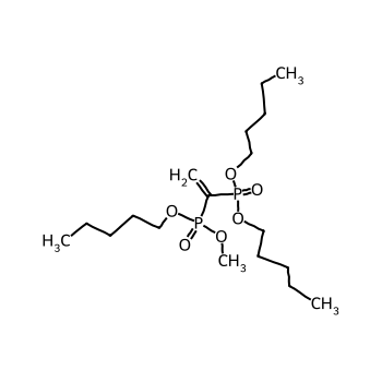 C=C(P(=O)(OC)OCCCCC)P(=O)(OCCCCC)OCCCCC